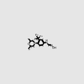 CC1CN(c2ccc(N/C=N/O)cc2C(F)(F)F)CC(C)O1